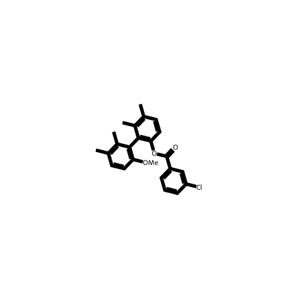 COc1ccc(C)c(C)c1-c1c(OC(=O)c2cccc(Cl)c2)ccc(C)c1C